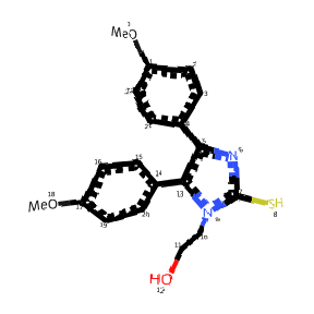 COc1ccc(-c2nc(S)n(CCO)c2-c2ccc(OC)cc2)cc1